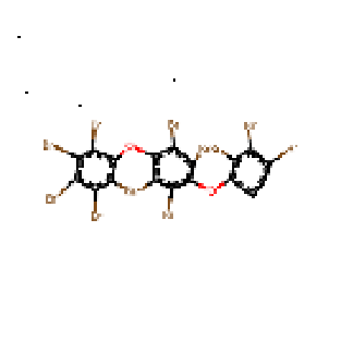 Brc1ccc(Oc2c(Br)c(Br)c(Oc3c(Br)c(Br)c(Br)c(Br)c3Br)c(Br)c2Br)c(Br)c1Br